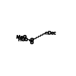 CCCCCCCCCCCCCCCCCCCCCCOC(=O)C=Cc1ccc(O)c(OC)c1